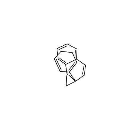 C1=CC(C23C=Cc4ccccc4N2C3)=CCC1